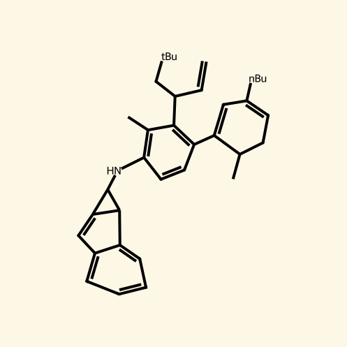 C=CC(CC(C)(C)C)c1c(C2=CC(CCCC)=CCC2C)ccc(NC2C3=Cc4ccccc4C32)c1C